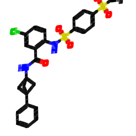 CS(=O)(=O)c1ccc(S(=O)(=O)Nc2ccc(Cl)cc2C(=O)NC23CC(c4ccccc4)(C2)C3)cc1